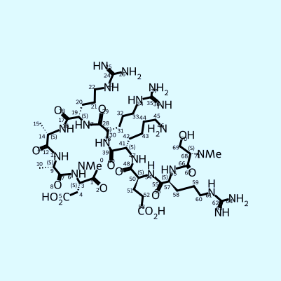 CNC(=O)[C@H](CC(=O)O)NC(=O)[C@H](C)NC(=O)[C@H](C)NC(=O)[C@H](CCCNC(=N)N)NC(=O)[C@H](CCCNC(=N)N)NC(=O)[C@H](CCCCN)NC(=O)[C@H](CCC(=O)O)NC(=O)[C@H](CCCNC(=N)N)NC(=O)[C@H](CO)NC